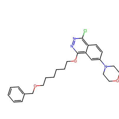 Clc1nnc(OCCCCCCOCc2ccccc2)c2cc(N3CCOCC3)ccc12